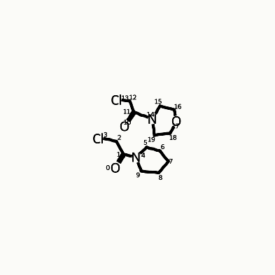 O=C(CCl)N1CCCCC1.O=C(CCl)N1CCOCC1